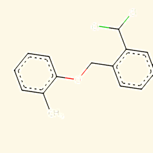 Cc1ccccc1OCc1ccccc1C(Cl)Cl